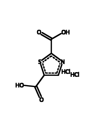 Cl.Cl.O=C(O)c1cnc(C(=O)O)s1